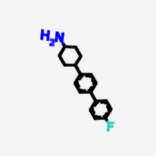 NC1CCC(c2ccc(-c3ccc(F)cc3)cc2)CC1